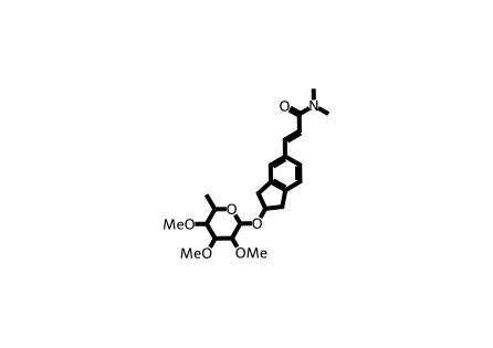 COC1C(C)OC(OC2Cc3ccc(C=CC(=O)N(C)C)cc3C2)C(OC)C1OC